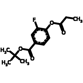 CCC(=O)Oc1ccc(C(=O)OC(C)(C)C)cc1F